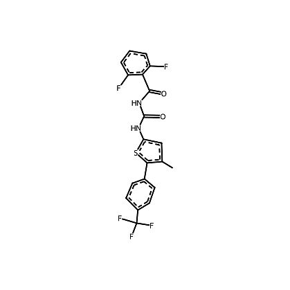 Cc1cc(NC(=O)NC(=O)c2c(F)cccc2F)sc1-c1ccc(C(F)(F)F)cc1